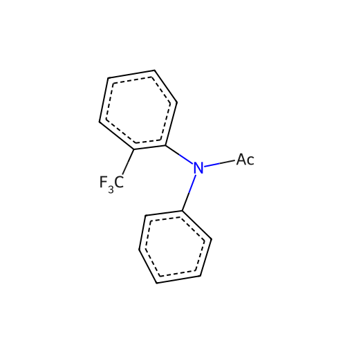 CC(=O)N(c1ccccc1)c1ccccc1C(F)(F)F